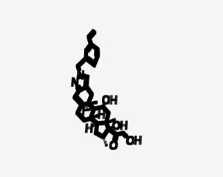 C=Cc1cccc(Cn2cc3c(n2)C=C2CC[C@H]4[C@@H]5C[C@@H](C)[C@](O)(C(=O)CO)[C@@]5(C)C[C@H](O)[C@]4(F)[C@@]2(C)C3)c1